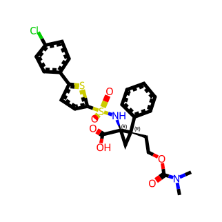 CN(C)C(=O)OCC[C@@]1(c2ccccc2)C[C@]1(NS(=O)(=O)c1ccc(-c2ccc(Cl)cc2)s1)C(=O)O